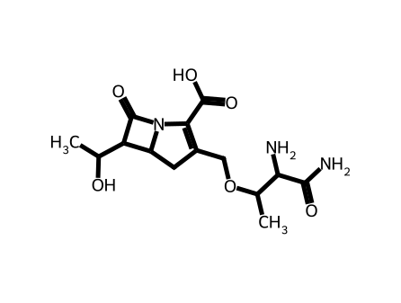 CC(O)C1C(=O)N2C(C(=O)O)=C(COC(C)C(N)C(N)=O)CC12